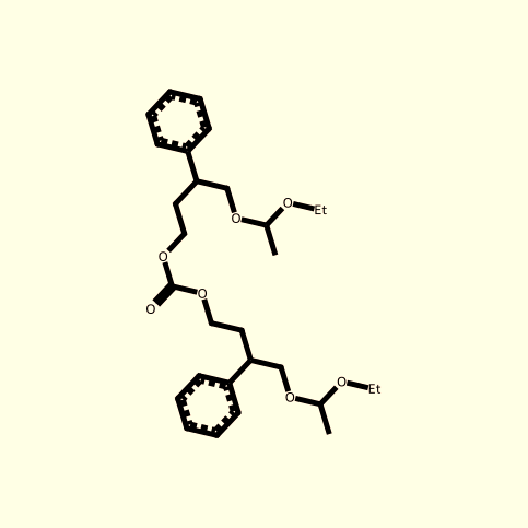 CCOC(C)OCC(CCOC(=O)OCCC(COC(C)OCC)c1ccccc1)c1ccccc1